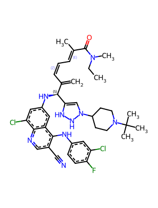 C=C(/C=C\C=C(/C)C(=O)N(C)CC)[C@H](Nc1cc(Cl)c2ncc(C#N)c(Nc3ccc(F)c(Cl)c3)c2c1)C1=CN(C2CCN(C(C)(C)C)CC2)NN1